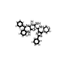 N=C(NC1N=C(c2ccccc2)c2ccccc2NC1=O)OC(=N)c1nc(-c2ccccc2)sc1N1CCOCC1